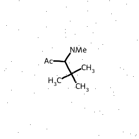 CNC(C(C)=O)C(C)(C)C